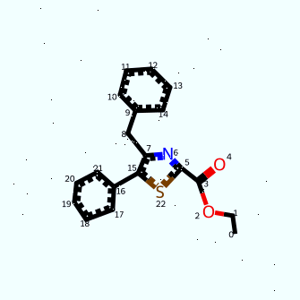 CCOC(=O)c1nc(Cc2ccccc2)c(-c2ccccc2)s1